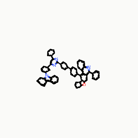 c1ccc(-c2cc(-c3cccc(-n4c5ccccc5c5ccccc54)c3)nc(-c3ccc(-c4ccc(-c5c6c(cc7c(-c8ccccc8)nc8ccccc8c57)oc5ccccc56)cc4)cc3)n2)cc1